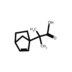 CC(C)(C(=O)O)C12C=CC(CC1)C2